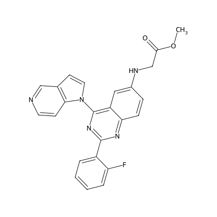 COC(=O)CNc1ccc2nc(-c3ccccc3F)nc(-n3ccc4cnccc43)c2c1